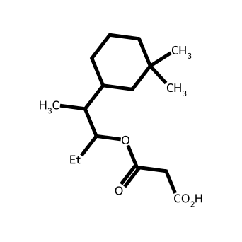 CCC(OC(=O)CC(=O)O)C(C)C1CCCC(C)(C)C1